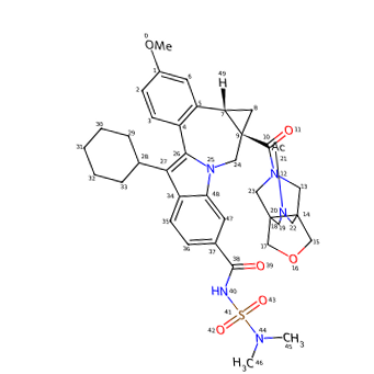 COc1ccc2c(c1)[C@@H]1C[C@]1(C(=O)N1CC34COCC3(CN(C(C)=O)C4)C1)Cn1c-2c(C2CCCCC2)c2ccc(C(=O)NS(=O)(=O)N(C)C)cc21